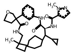 Cn1nccc1C(=O)N[C@H](C(=O)Nc1cccc(C2(C(=O)NCC3(C)CCC3)CCOC2)c1)C(C1CCCCC1)C1CC1